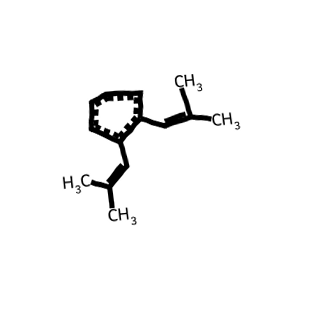 CC(C)=Cc1ccccc1C=C(C)C